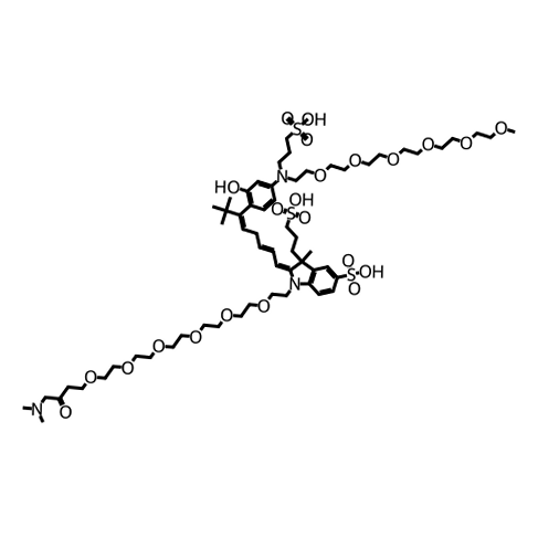 COCCOCCOCCOCCOCCOCCN(CCCS(=O)(=O)O)c1ccc(/C(=C\C/C=C/C=C2/N(CCOCCOCCOCCOCCOCCOCCC(=O)CN(C)C)c3ccc(S(=O)(=O)O)cc3C2(C)CCCS(=O)(=O)O)C(C)(C)C)c(O)c1